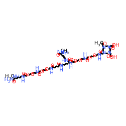 CN[C@@H](CCCCNC(=O)COCCOCCNC(=O)COCCOCCNC(=O)CCCC(=O)NCCCC[C@H](NC(=O)COCCOCCNC(=O)COCCOCCNC(=O)CN1CCN(CC(C)=O)CCN(CC(=O)O)CCN(CC(=O)O)CC1)C(=O)NCCCC[C@H](NC)C(N)=O)C(N)=O